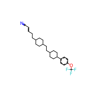 N#CC=CCCC1CCC(CCC2CCC(c3ccc(OC(F)(F)F)cc3)CC2)CC1